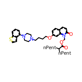 CCCCCC(CCCCC)C(=O)OCn1c(=O)ccc2ccc(OCCCCN3CCN(c4cccc5sccc45)CC3)cc21